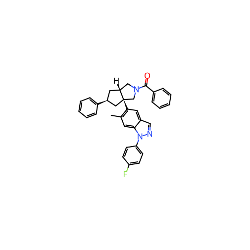 Cc1cc2c(cnn2-c2ccc(F)cc2)cc1[C@@]12C[C@@H](c3ccccc3)C[C@@H]1CN(C(=O)c1ccccc1)C2